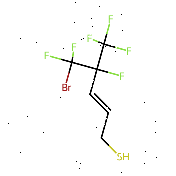 FC(F)(F)C(F)(C=CCS)C(F)(F)Br